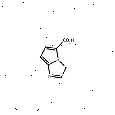 O=C(O)c1ccc2n1CC=N2